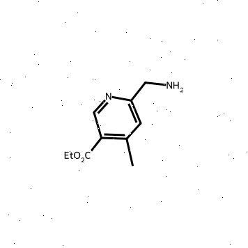 CCOC(=O)c1cnc(CN)cc1C